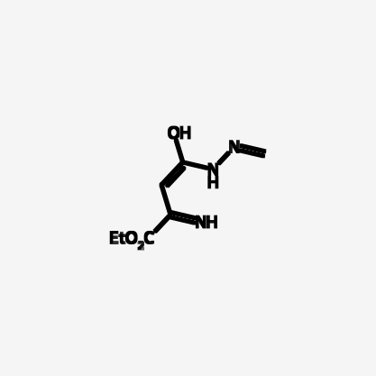 C=NN/C(O)=C\C(=N)C(=O)OCC